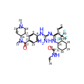 C=C/C(=C(\N=C(/N)Nc1ccc(C(=O)N(C)C2CCN(C)CC2)cc1)NC1CCCC[C@@H]1C(=O)NCC)C(F)(F)F